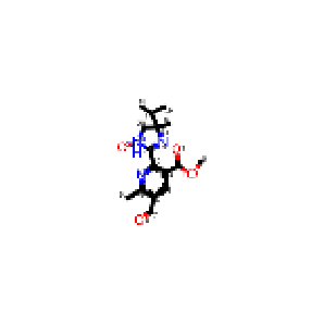 COC(=O)c1cc(C=O)c(C)nc1C1=NC(C)(C(C)C)C[NH+]1[O-]